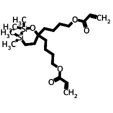 C=CC(=O)OCCCCC1(CCCCOC(=O)C=C)CC[Si](C)(C)[Si](C)(C)O1